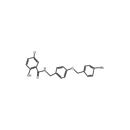 CCCCc1ccc(COc2ccc(CNC(=O)c3cc(Cl)ccc3O)cc2)cc1